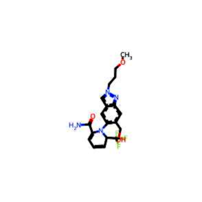 COCCCn1cc2cc(N3C(C(N)=O)=CC=CC3C(F)(F)F)c(CO)cc2n1